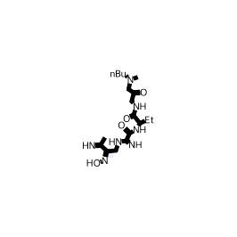 CCCCN(C)CC(=O)CNC(=O)C(CC)NC(=O)C(=N)NC/C(=N/O)C(C)=N